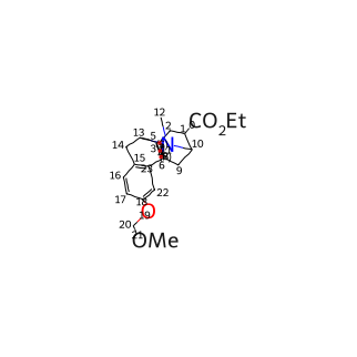 CCOC(=O)C1C[C@@]23CCCC[C@]24CC1N(C)C3Cc1ccc(OCOC)cc14